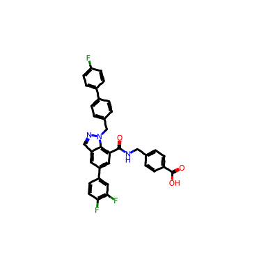 O=C(O)c1ccc(CNC(=O)c2cc(-c3ccc(F)c(F)c3)cc3cnn(Cc4ccc(-c5ccc(F)cc5)cc4)c23)cc1